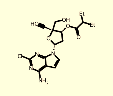 C#C[C@]1(CO)O[C@@H](n2ccc3c(N)nc(Cl)nc32)C[C@@H]1OC(=O)C(CC)CC